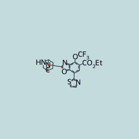 CCOC(=O)c1cc(-c2nccs2)c2oc(N3CC4CCC(C3)NC4)nc2c1OC(F)(F)F